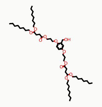 CCCCCCCCOC(CCC(=O)OCCCOc1ccc(OCCCOC(=O)CCC(OCCCCCCCC)OCCCCCCCC)c(CO)c1)OCCCCCCCC